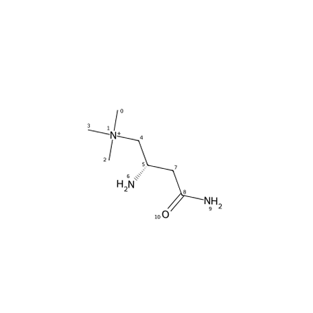 C[N+](C)(C)C[C@@H](N)CC(N)=O